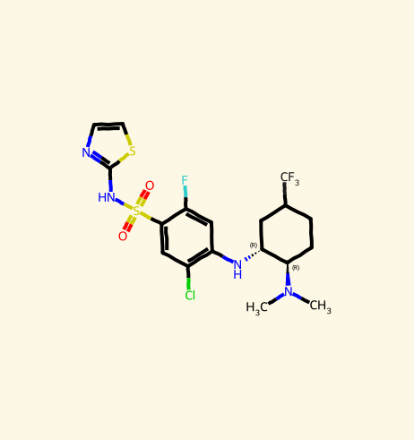 CN(C)[C@@H]1CCC(C(F)(F)F)C[C@H]1Nc1cc(F)c(S(=O)(=O)Nc2nccs2)cc1Cl